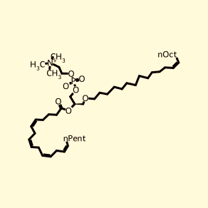 CCCCC/C=C\C/C=C\C/C=C\C/C=C\CCCC(=O)O[C@H](COCCCCCCCCCCCC/C=C\CCCCCCCC)COP(=O)([O-])OCC[N+](C)(C)C